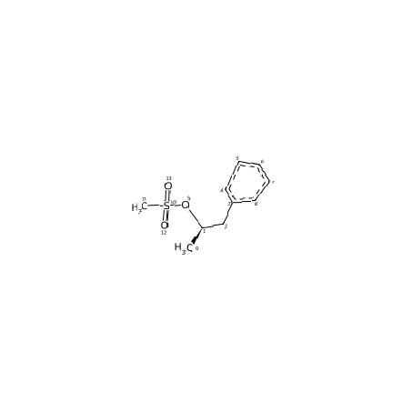 C[C@H](Cc1ccccc1)OS(C)(=O)=O